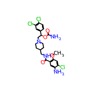 COc1cc(Cl)c(N)cc1C(=O)NCC1CCN(CC(OC(N)=O)c2ccc(Cl)c(Cl)c2)CC1